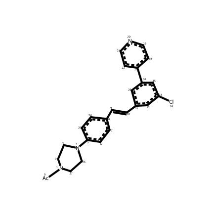 CC(=O)N1CCN(c2ccc(C=Cc3cc(Cl)cc(-c4ccncc4)c3)cc2)CC1